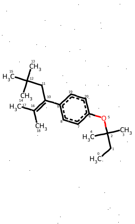 CCC(C)(C)Oc1ccc(C(CC(C)(C)C)=C(C)C)cc1